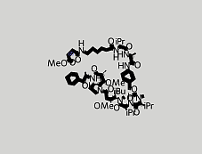 CC[C@H](C)[C@@H]([C@@H](CC(=O)N1CCC[C@H]1[C@H](OC)[C@@H](C)C(=O)N[C@H](C)[C@@H](O)c1ccccc1)OC)N(C)C(=O)[C@@H](NC(=O)[C@H](C(C)C)N(C)C(=O)OCc1ccc(NC(=O)[C@H](C)NC(=O)[C@@H](NC(=O)CCCCCNC(=O)/C=C\C(=O)OC)C(C)C)cc1)C(C)C